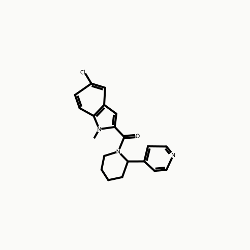 Cn1c(C(=O)N2CCCCC2c2ccncc2)cc2cc(Cl)ccc21